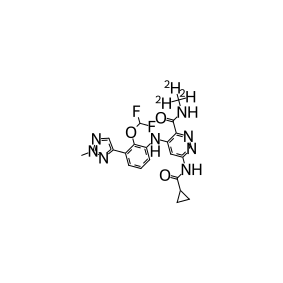 [2H]C([2H])([2H])NC(=O)c1nnc(NC(=O)C2CC2)cc1Nc1cccc(-c2cnn(C)n2)c1OC(F)F